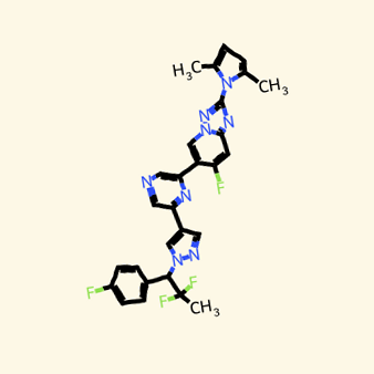 Cc1ccc(C)n1-c1nc2cc(F)c(-c3cncc(-c4cnn(C(c5ccc(F)cc5)C(C)(F)F)c4)n3)cn2n1